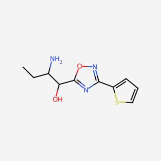 CCC(N)C(O)c1nc(-c2cccs2)no1